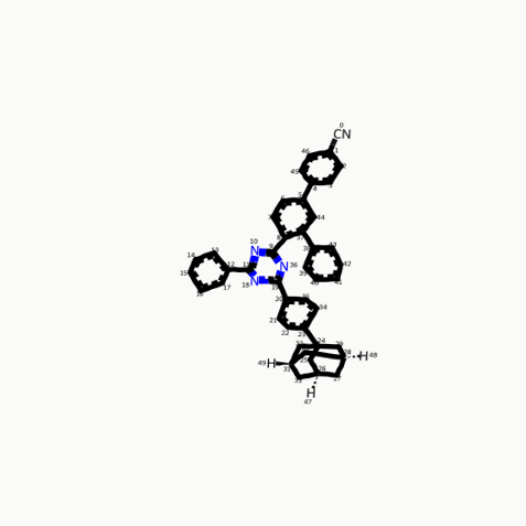 N#Cc1ccc(-c2ccc(-c3nc(-c4ccccc4)nc(-c4ccc(C56C[C@H]7C[C@H](C5)C[C@@H](C6)C7)cc4)n3)c(-c3ccccc3)c2)cc1